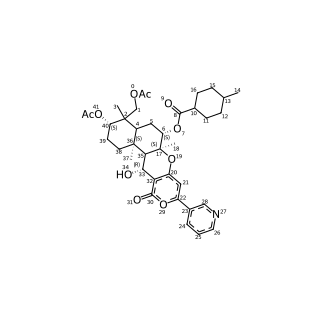 CC(=O)OCC1(C)C2C[C@H](OC(=O)C3CCC(C)CC3)[C@@]3(C)Oc4cc(-c5cccnc5)oc(=O)c4[C@H](O)C3[C@@]2(C)CC[C@@H]1OC(C)=O